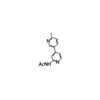 CC(=O)Nc1cc(-c2c[c]c(C)nc2)ccn1